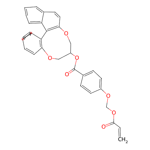 C=CC(=O)OCOc1ccc(C(=O)OC2COc3ccc4ccccc4c3-c3c(ccc4ccccc34)OC2)cc1